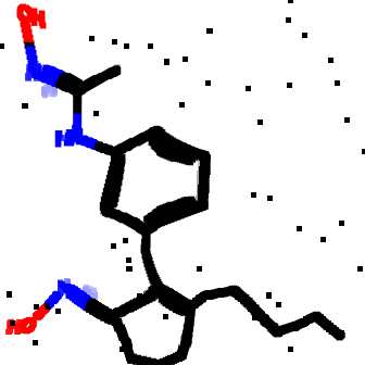 CCCCC1=C(c2cccc(N/C(C)=N/O)c2)/C(=N/O)CC1